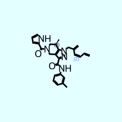 C=C/C=C\C(=C)Cn1nc(C(=O)Nc2cccc(C)c2)c2c1[C@H](C)CN(C(=O)c1ccc[nH]1)C2